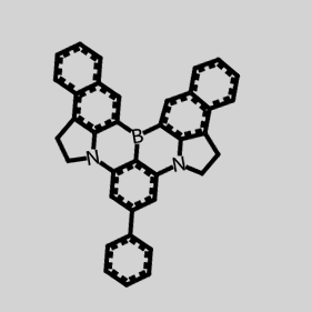 c1ccc(-c2cc3c4c(c2)N2CCc5c2c(cc2ccccc52)B4c2cc4ccccc4c4c2N3CC4)cc1